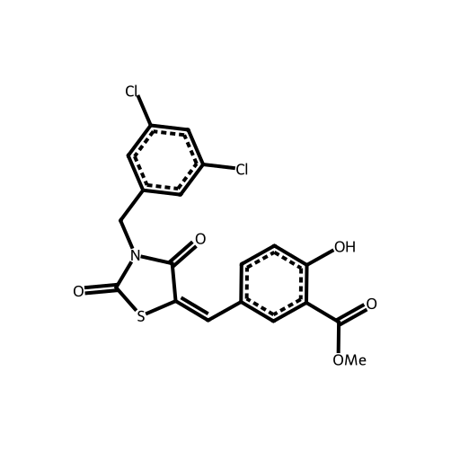 COC(=O)c1cc(C=C2SC(=O)N(Cc3cc(Cl)cc(Cl)c3)C2=O)ccc1O